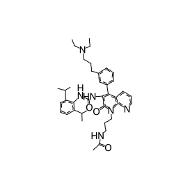 CCN(CC)CCCc1cccc(-c2c(NC(=O)Nc3c(C(C)C)cccc3C(C)C)c(=O)n(CCCNC(C)=O)c3ncccc23)c1